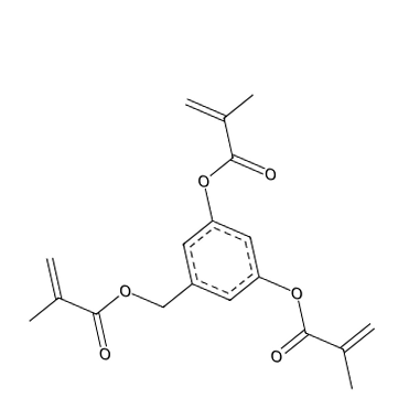 C=C(C)C(=O)OCc1cc(OC(=O)C(=C)C)cc(OC(=O)C(=C)C)c1